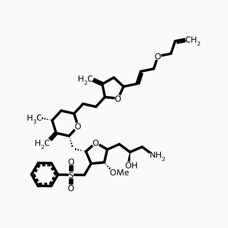 C=CCOC/C=C/C1CC(=C)C(CCC2C[C@@H](C)C(=C)[C@@H](C[C@@H]3OC(C[C@H](O)CN)[C@H](OC)C3CS(=O)(=O)c3ccccc3)O2)O1